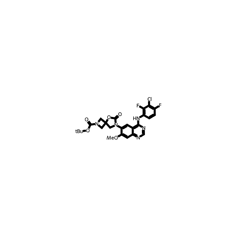 COc1cc2ncnc(Nc3ccc(F)c(Cl)c3F)c2cc1N1CC2(CN(C(=O)OC(C)(C)C)C2)OC1=O